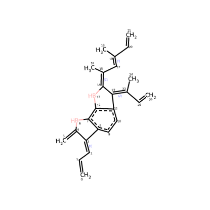 C=C/C=C1\C(=C)Bc2c1ccc1c2BC(=C(C)/C=C(\C)C=C)/C1=C(\C)C=C